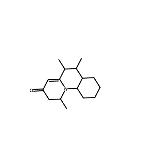 CC1C2=CC(=O)CC(C)N2C2CCCCC2C1C